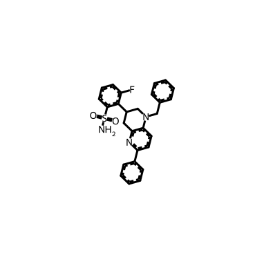 NS(=O)(=O)c1cccc(F)c1C1Cc2nc(-c3ccccc3)ccc2N(Cc2ccccc2)C1